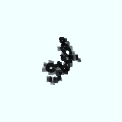 CCOc1noc(C(=O)NC2(C)CC3CC(C)CC(C3)C2)c1Sc1ccccc1